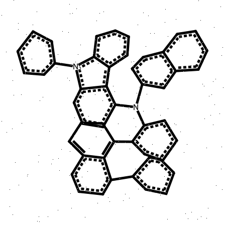 C1=c2cccc(-c3ccccc3)c2=C(c2ccccc2N(c2ccc3ccccc3c2)c2cccc3c2c2ccccc2n3-c2ccccc2)CC1